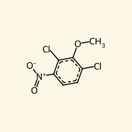 COc1c(Cl)ccc([N+](=O)[O-])c1Cl